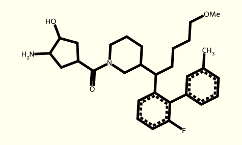 COCCCCC(c1cccc(F)c1-c1cccc(C)c1)C1CCCN(C(=O)C2CC(N)C(O)C2)C1